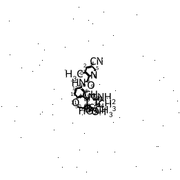 Cc1cc(C#N)cnc1C(=O)Nc1ccc2c(c1)[C@@]1(C)N=C(N)C(C)(C)S(O)(O)[C@@H]1CCO2